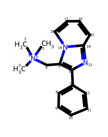 C[N+](C)(C)Cc1c(-c2ccccc2)nc2ccccn12